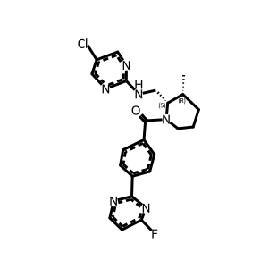 C[C@@H]1CCCN(C(=O)c2ccc(-c3nccc(F)n3)cc2)[C@@H]1CNc1ncc(Cl)cn1